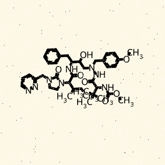 CCC(C)C(C(=O)NC(Cc1ccccc1)C(O)CN(Cc1ccc(OC)cc1)NC(=O)C(NC(=O)OC)C(C)(C)C)N1CCN(Cc2cccnn2)C1=O